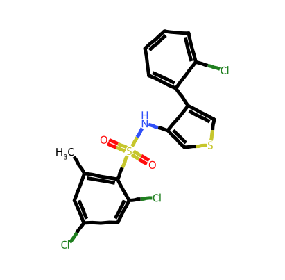 Cc1cc(Cl)cc(Cl)c1S(=O)(=O)Nc1cscc1-c1ccccc1Cl